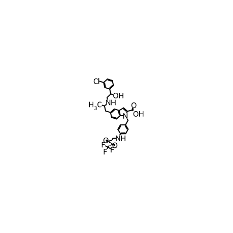 CC(Cc1ccc2c(c1)cc(C(=O)O)n2Cc1ccc(NCS(=O)(=O)C(F)(F)F)cc1)NCC(O)c1cccc(Cl)c1